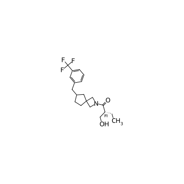 CC[C@H](CO)C(=O)N1CC2(CCC(Cc3cccc(C(F)(F)F)c3)C2)C1